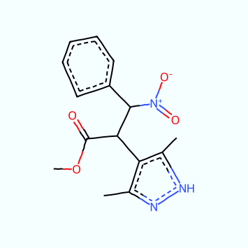 COC(=O)C(c1c(C)n[nH]c1C)C(c1ccccc1)[N+](=O)[O-]